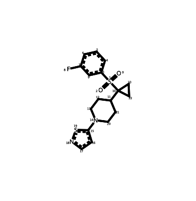 O=S(=O)(c1cccc(F)c1)C1(C2CCN(c3ccns3)CC2)CC1